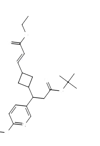 CCOC(=O)/C=C/C1CC(C(CC(=O)OC(C)(C)C)c2ccc(OC)nc2)C1